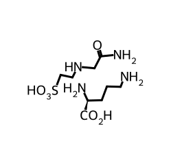 NC(=O)CNCCS(=O)(=O)O.NCCC[C@H](N)C(=O)O